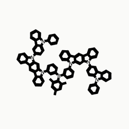 Cc1cc(C)c(B(c2cccc(-n3c4ccccc4c4cc5c6ccccc6n(-c6ccc7c(c6)c6ccccc6n7-c6ccccc6)c5cc43)c2)c2cccc(-n3c4ccccc4c4cc5c6ccccc6n(-c6ccc7c(c6)c6ccccc6n7-c6ccccc6)c5cc43)c2)c(C)c1